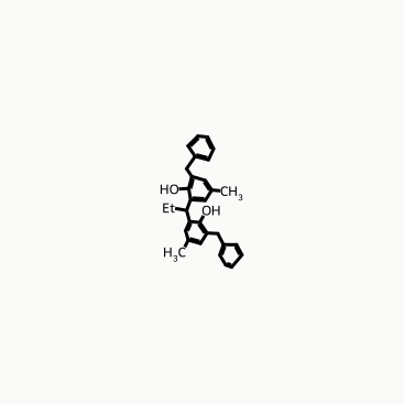 CCC(c1cc(C)cc(Cc2ccccc2)c1O)c1cc(C)cc(Cc2ccccc2)c1O